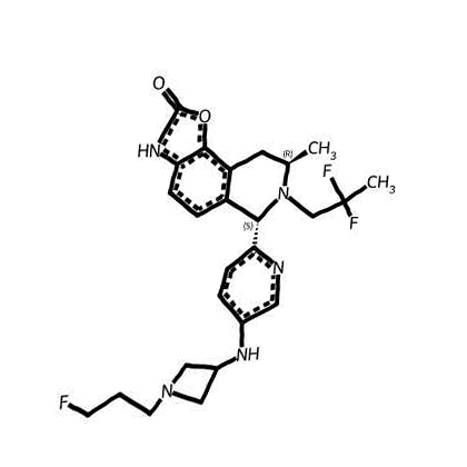 C[C@@H]1Cc2c(ccc3[nH]c(=O)oc23)[C@@H](c2ccc(NC3CN(CCCF)C3)cn2)N1CC(C)(F)F